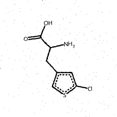 NC(Cc1csc(Cl)c1)C(=O)O